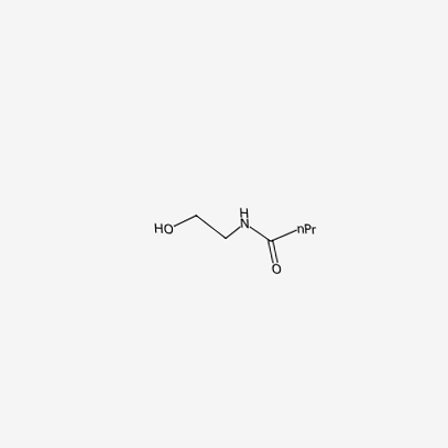 CCCC(=O)NCCO